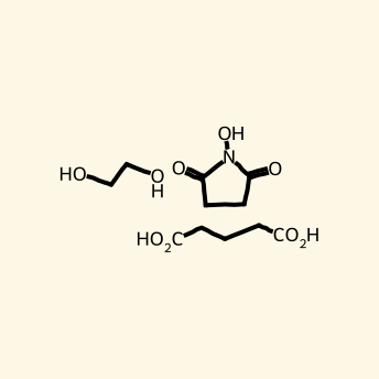 O=C(O)CCCC(=O)O.O=C1CCC(=O)N1O.OCCO